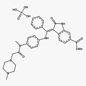 COC(=O)c1ccc2c(c1)NC(=O)C2=C(Nc1ccc(N(C)C(=O)CN2CCN(C)CC2)cc1)c1ccccc1.O=P(O)(O)O